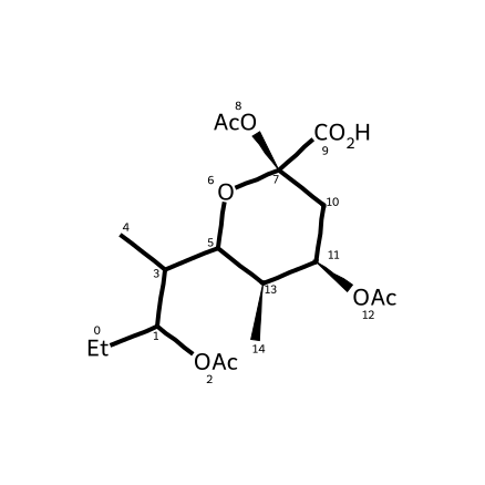 CCC(OC(C)=O)C(C)C1O[C@](OC(C)=O)(C(=O)O)C[C@@H](OC(C)=O)[C@H]1C